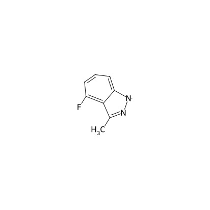 CC1=N[N]c2cccc(F)c21